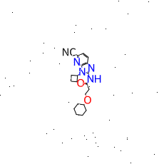 N#Cc1ccc2nc(NC(=O)CCOC3CCCCC3)n(C3CCC3)c2n1